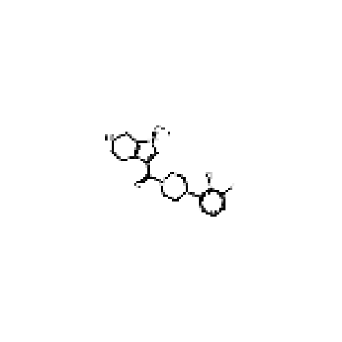 C=[N+]1N=C(C(=O)N2CCC(c3cccc(F)c3Cl)CC2)C2=C1CNCC2